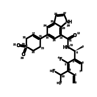 C=C/C(=C(F)\C(=C/C)[C@@H](C)NC(=O)c1cc(C2=CCS(=O)(=O)CC2)cc2cc[nH]c12)C(F)F